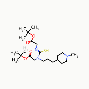 CN1CCC(CCCN(CC(=O)OC(C)(C)C)/C(S)=N/CC(=O)OC(C)(C)C)CC1